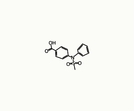 CS(=O)(=O)N(c1ccccc1)c1ccc(C(=O)O)cc1